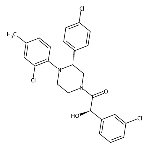 Cc1ccc(N2CCN(C(=O)[C@H](O)c3cccc(Cl)c3)C[C@H]2c2ccc(Cl)cc2)c(Cl)c1